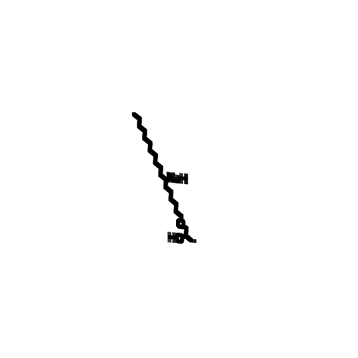 [CH2]C(O)COCCCCCCCCCCCCCCCCCC.[NaH]